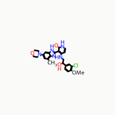 COc1ccc(C(O)CNc2cc[nH]c(=O)c2-c2nc3c(C)cc(N4CCOCC4)cc3[nH]2)cc1Cl